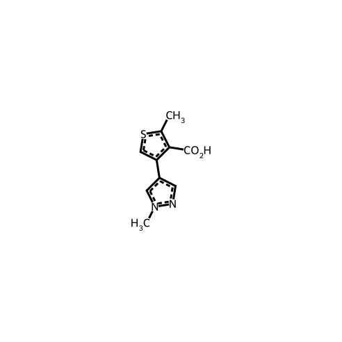 Cc1scc(-c2cnn(C)c2)c1C(=O)O